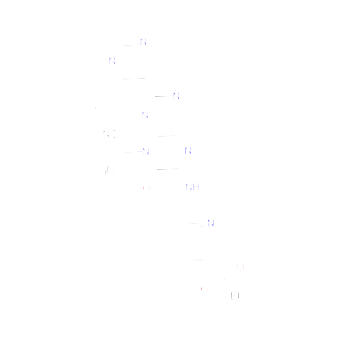 CCS(=O)(=O)c1ccc(CNc2nc3cnc(-c4c(C)ncnc4C4CC4)nc3n([C@@H](C#N)C(C)C)c2=O)nc1